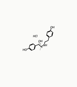 C[C@@H](NCCc1ccc(O)cc1)[C@@H](O)c1ccc(O)cc1.Cl